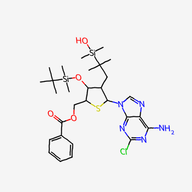 CC(C)(CC1C(O[Si](C)(C)C(C)(C)C)C(COC(=O)c2ccccc2)SC1n1cnc2c(N)nc(Cl)nc21)[Si](C)(C)O